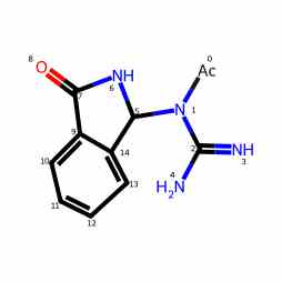 CC(=O)N(C(=N)N)C1NC(=O)c2ccccc21